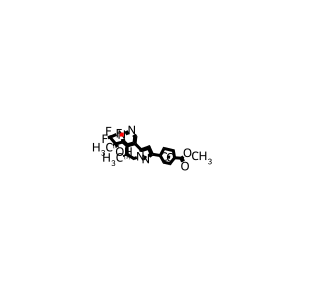 COC(=O)C12CCC(c3cc4n(n3)C[C@@H](C)c3c-4cnnc3[C@](C)(O)C(F)(F)F)(CC1)CC2